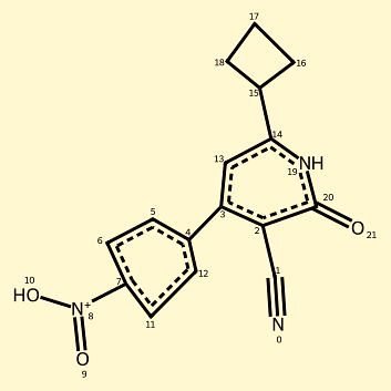 N#Cc1c(-c2ccc([N+](=O)O)cc2)cc(C2CCC2)[nH]c1=O